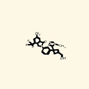 [CH2]c1cc2c(c(C(F)(F)F)c1)CN(c1cccc(C3(c4nncn4C)CC(CO)C3)c1)C2=O